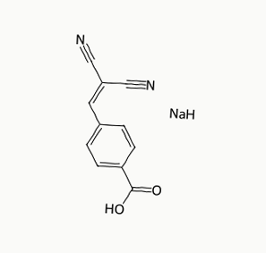 N#CC(C#N)=Cc1ccc(C(=O)O)cc1.[NaH]